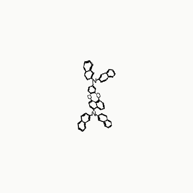 c1ccc2cc(N(c3ccc4c(c3)Oc3cccc5c(N(c6ccc7ccccc7c6)c6ccc7ccccc7c6)ccc(c35)O4)c3ccc4ccccc4c3)ccc2c1